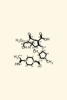 CC(=N)N1CCN(C(=O)[C@@H]2C[C@H](SC3=C(C(=O)O)N4C(=O)[C@H]([C@@H](C)O)[C@H]4[C@H]3C)CN2C)CC1